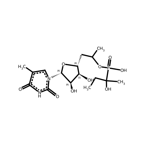 CCC(C)(O)P(=O)(O)OC(C)C[C@H]1O[C@@H](n2cc(C)c(=O)[nH]c2=O)[C@H](O)[C@@H]1O